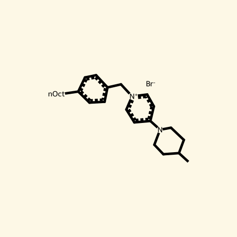 CCCCCCCCc1ccc(C[n+]2ccc(N3CCC(C)CC3)cc2)cc1.[Br-]